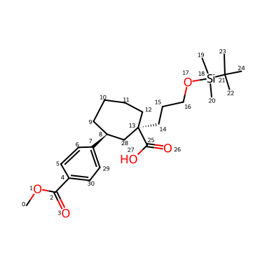 COC(=O)c1ccc([C@H]2CCCC[C@@](CCCO[Si](C)(C)C(C)(C)C)(C(=O)O)C2)cc1